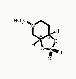 O=C(O)N1CC[C@@H]2OS(=O)(=O)O[C@@H]2C1